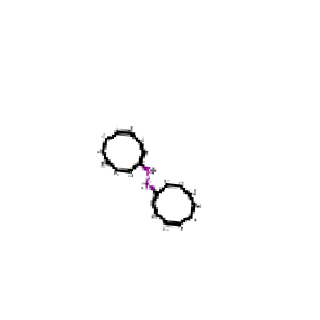 C1CCCCC([P][P]C2CCCCCCCCC2)CCCC1